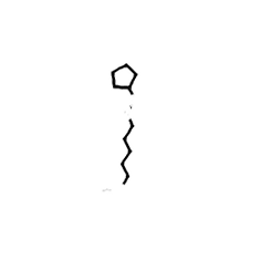 CCCCCCCCCCCCNOC1CCCC1